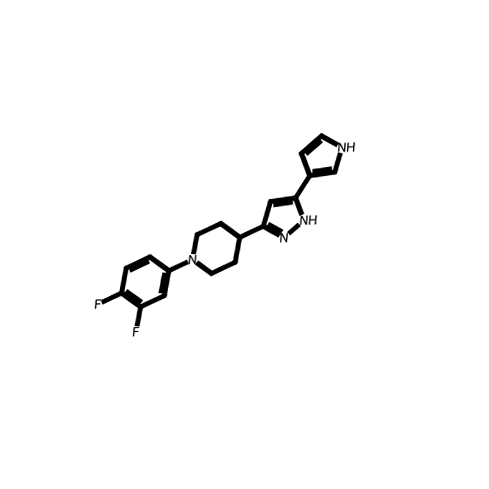 Fc1ccc(N2CCC(c3cc(-c4cc[nH]c4)[nH]n3)CC2)cc1F